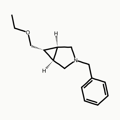 CCOC[C@@H]1[C@H]2CN(Cc3ccccc3)C[C@@H]12